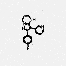 Fc1ccc(-c2nn3c(c2-c2cccnc2)NCCC3)cc1